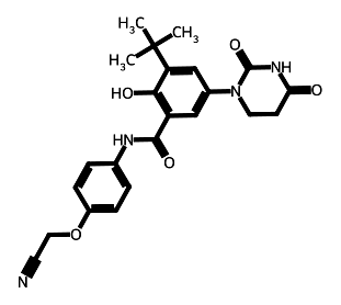 CC(C)(C)c1cc(N2CCC(=O)NC2=O)cc(C(=O)Nc2ccc(OCC#N)cc2)c1O